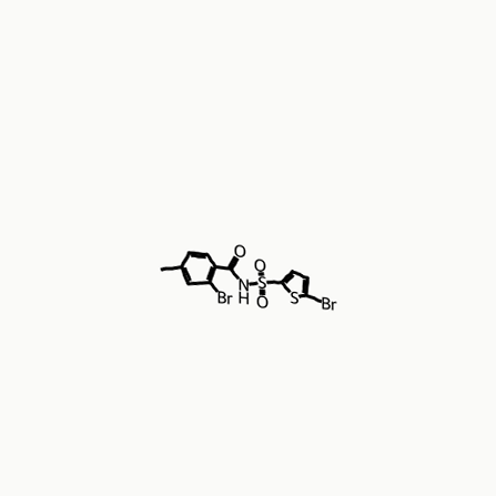 Cc1ccc(C(=O)NS(=O)(=O)c2ccc(Br)s2)c(Br)c1